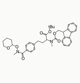 CN(OC1CCCCO1)C(=O)c1ccc(CCC(C(=O)OC(C)(C)C)N(C)C(=O)OCC2c3ccccc3-c3ccccc32)cc1